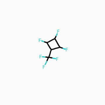 FC1C(F)C(C(F)(F)F)C1F